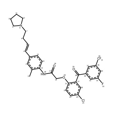 Cc1cc(/C=C/CCN2CCCC2)ccc1NC(=O)COc1ccc(Cl)cc1C(=O)c1cc(F)cc(C(F)(F)F)c1